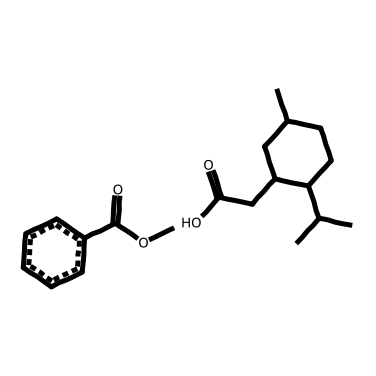 CC1CCC(C(C)C)C(CC(=O)O)C1.COC(=O)c1ccccc1